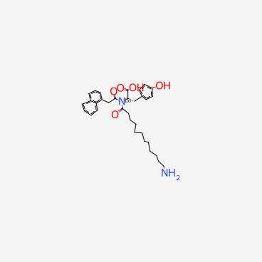 NCCCCCCCCCCCC(=O)N(C(=O)Cc1cccc2ccccc12)[C@@H](Cc1ccc(O)cc1)C(=O)O